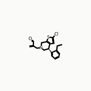 C=C(C=O)CN1Cc2sc(Cl)cc2[C@@H](c2ccccc2CC)C1